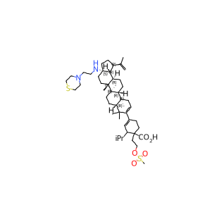 C=C(C)[C@@H]1CC[C@]2(NCCN3CCSCC3)CC[C@]3(C)[C@H](CC[C@@H]4[C@@]5(C)CC=C(C6=CC(C(C)C)C(CCOS(C)(=O)=O)(C(=O)O)CC6)C(C)(C)[C@@H]5CC[C@]43C)[C@@H]12